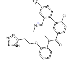 C/N=C/c1cc(C(F)(F)F)ncc1-c1cc(C(=O)N(C)c2ccccc2OCCc2nnn[nH]2)ccc1Cl